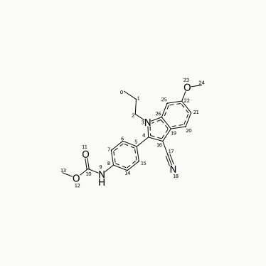 CCCn1c(-c2ccc(NC(=O)OC)cc2)c(C#N)c2ccc(OC)cc21